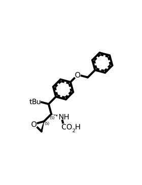 CC(C)(C)C(c1ccc(OCc2ccccc2)cc1)[C@H](NC(=O)O)[C@H]1CO1